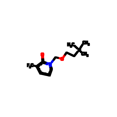 C[Si](C)(C)CCOCn1cccc(C(F)(F)F)c1=O